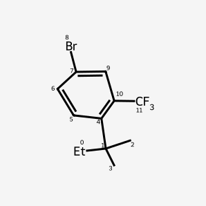 CCC(C)(C)c1ccc(Br)cc1C(F)(F)F